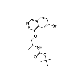 CC(COc1cncc2ccc(Br)cc12)NC(=O)OC(C)(C)C